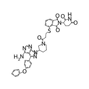 Nc1ncnc2c1c(-c1ccc(Oc3ccccc3)cc1)nn2C1CCCN(C(=O)CCSc2cccc3c2C(=O)N(C2CCC(=O)NC2=O)C3=O)C1